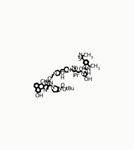 Cc1ncsc1-c1ccc([C@H](C)NC(=O)[C@@H]2C[C@@H](O)CN2C(=O)[C@@H](c2cc(N3CCC(CC4(O)CCN(CCOc5nc(N6CCC7CC(C6)N(C(=O)OC(C)(C)C)C7)c6cnc7c(c6n5)C(C)c5cccc6cc(O)cc-7c56)CC4)CC3)no2)C(C)C)cc1